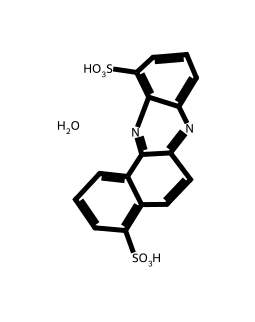 O.O=S(=O)(O)c1cccc2c1ccc1nc3cccc(S(=O)(=O)O)c3nc12